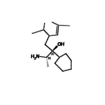 CC(C)=CC(C[C@](O)(C1CCCCC1)[C@H](C)N)C(C)C